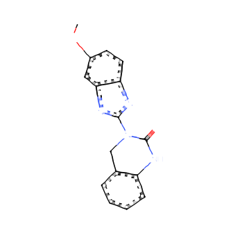 COc1ccc2nc(N3Cc4ccccc4NC3=O)[nH]c2c1